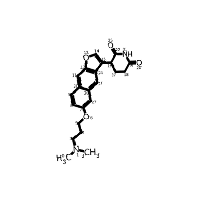 CN(C)CCCOc1ccc2cc3occ(C4CCC(=O)NC4=O)c3cc2c1